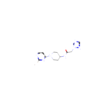 CSc1nccc(N2CCC(N(C)C(=O)Cn3cncn3)CC2)n1